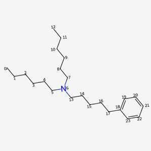 [CH2]CCCCCN(CCCCCC)CCCCCc1ccccc1